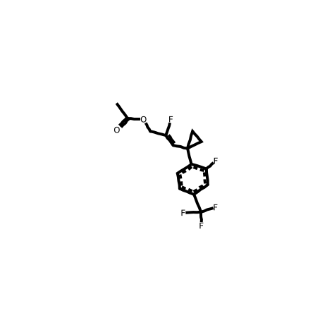 CC(=O)OCC(F)=CC1(c2ccc(C(F)(F)F)cc2F)CC1